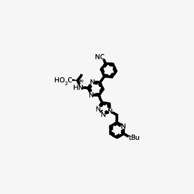 C[C@@H](Nc1nc(-c2cccc(C#N)c2)cc(-c2cn(Cc3cccc(C(C)(C)C)n3)nn2)n1)C(=O)O